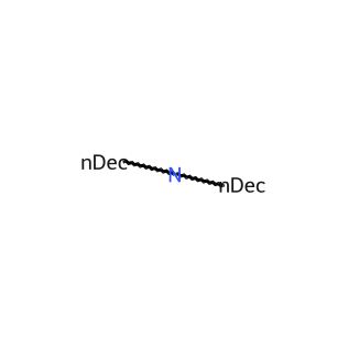 CCCCCCCCCCCCCCCCCCCCCCCCCCC=NCCCCCCCCCCCCCCCCCCCCCCCCCC